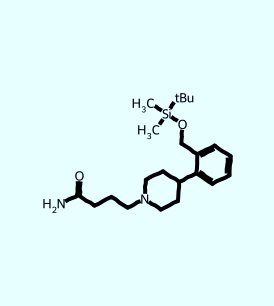 CC(C)(C)[Si](C)(C)OCc1ccccc1C1CCN(CCCC(N)=O)CC1